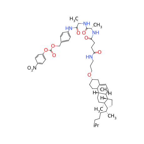 CC(C)CCC[C@@H](C)[C@H]1CC[C@H]2[C@@H]3CC=C4C[C@@H](OCCCNC(=O)CCC(=O)N[C@@H](C)C(=O)N[C@@H](C)C(=O)Nc5ccc(COC(=O)Oc6ccc([N+](=O)[O-])cc6)cc5)CC[C@]4(C)[C@H]3CC[C@]12C